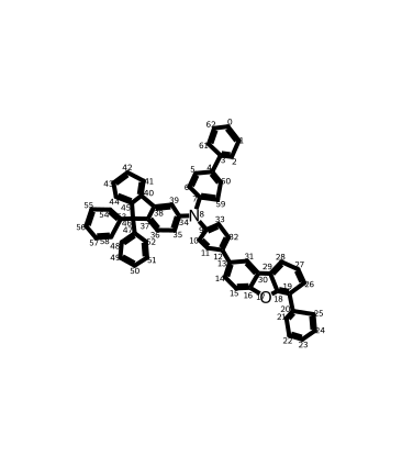 c1ccc(-c2ccc(N(c3ccc(-c4ccc5oc6c(-c7ccccc7)cccc6c5c4)cc3)c3ccc4c(c3)-c3ccccc3C4(c3ccccc3)c3ccccc3)cc2)cc1